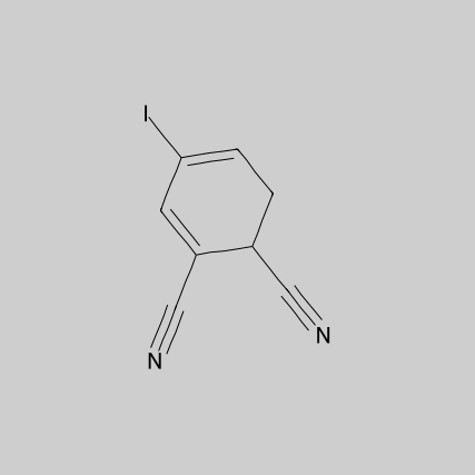 N#CC1=CC(I)=CCC1C#N